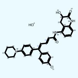 Cl.O=C(/C=C/C=C(\c1ccc(Cl)cc1)c1ccc(N2CCCCC2)cc1)Nc1cccc2c1CC(O)C(=O)N2